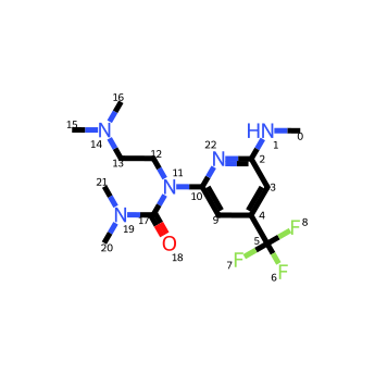 CNc1cc(C(F)(F)F)cc(N(CCN(C)C)C(=O)N(C)C)n1